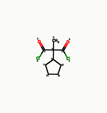 CC(C(=O)Cl)(C(=O)Cl)C1CCCC1